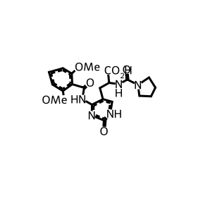 COc1cccc(OC)c1C(=O)Nc1nc(=O)[nH]cc1CC(NC(=O)N1CCCC1)C(=O)O